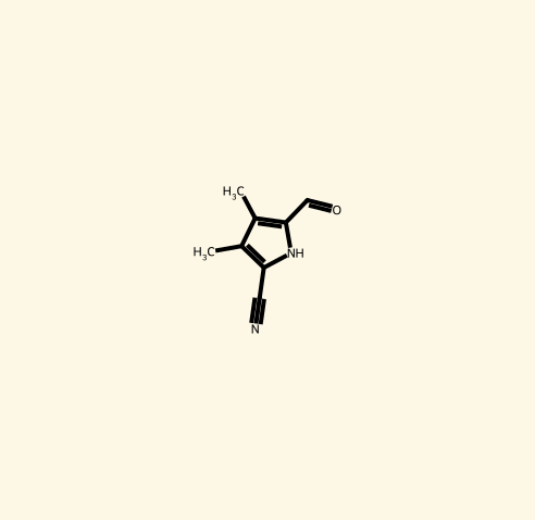 Cc1c(C#N)[nH]c(C=O)c1C